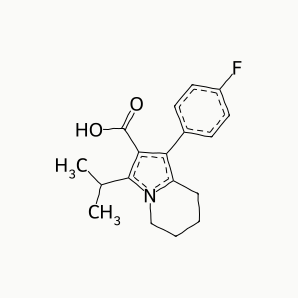 CC(C)c1c(C(=O)O)c(-c2ccc(F)cc2)c2n1CCCC2